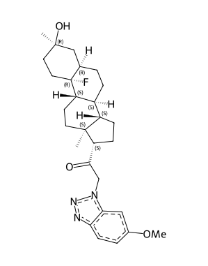 COc1ccc2nnn(CC(=O)[C@H]3CC[C@H]4[C@@H]5CC[C@@H]6C[C@](C)(O)CC[C@]6(F)[C@H]5CC[C@]34C)c2c1